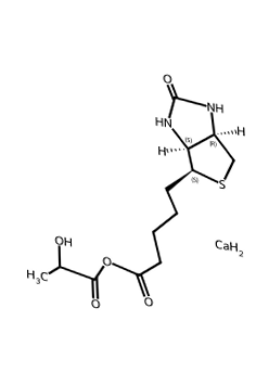 CC(O)C(=O)OC(=O)CCCC[C@@H]1SC[C@@H]2NC(=O)N[C@@H]21.[CaH2]